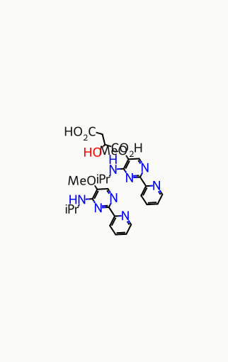 COc1cnc(-c2ccccn2)nc1NC(C)C.COc1cnc(-c2ccccn2)nc1NC(C)C.O=C(O)CC(O)C(=O)O